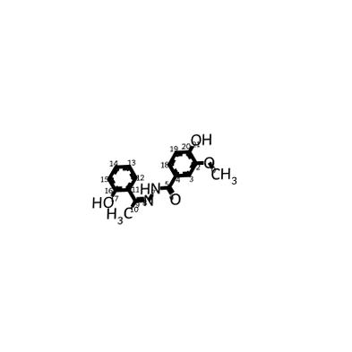 COc1cc(C(=O)NN=C(C)c2ccccc2O)ccc1O